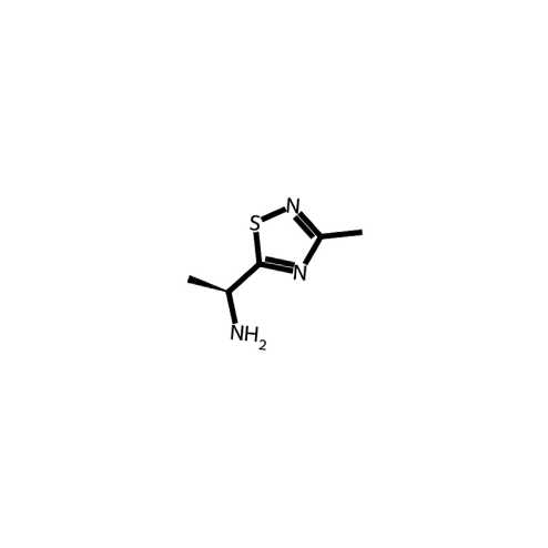 Cc1nsc([C@H](C)N)n1